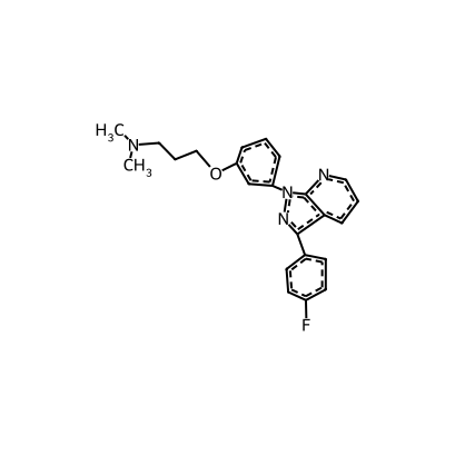 CN(C)CCCOc1cccc(-n2nc(-c3ccc(F)cc3)c3cccnc32)c1